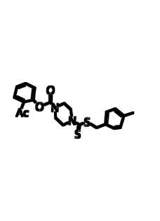 CC(=O)c1ccccc1OC(=O)N1CCN(C(=S)SCc2ccc(C)cc2)CC1